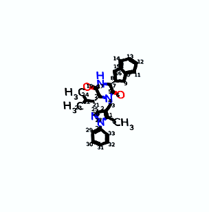 Cc1c(CN2C(=O)[C@@H](C3Cc4ccccc4C3)NC(=O)[C@H]2CC(C)C)cnn1-c1ccccc1